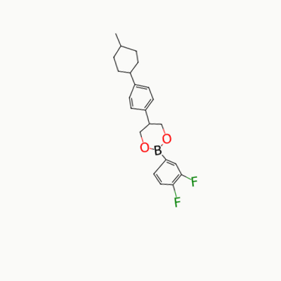 CC1CCC(c2ccc(C3COB(c4ccc(F)c(F)c4)OC3)cc2)CC1